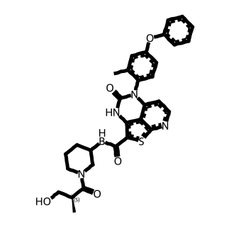 Cc1cc(Oc2ccccc2)ccc1N1C(=O)Nc2c(C(=O)BC3CCCN(C(=O)[C@@H](C)CO)C3)sc3nccc1c23